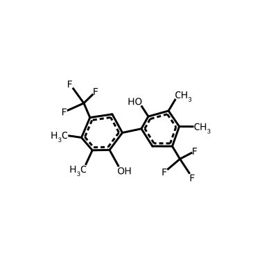 Cc1c(C(F)(F)F)cc(-c2cc(C(F)(F)F)c(C)c(C)c2O)c(O)c1C